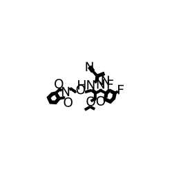 CC(C)OC(=O)C1=C(COCCN2C(=O)c3ccccc3C2=O)Nc2c(C#N)cnn2C1c1cccc(F)c1F